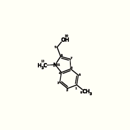 Cc1ccc2c(c1)cc(CO)n2C